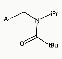 CC(=O)CN(C(=O)C(C)(C)C)C(C)C